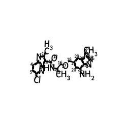 Cc1nc2ccc(Cl)nn2c1C(=O)NC(C)COCc1cc(N)c2nnn(C)c2c1